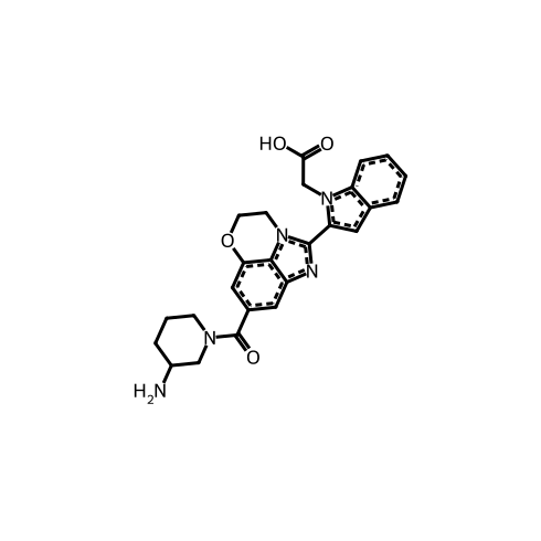 NC1CCCN(C(=O)c2cc3c4c(c2)nc(-c2cc5ccccc5n2CC(=O)O)n4CCO3)C1